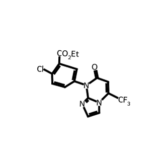 CCOC(=O)c1cc(-n2c(=O)cc(C(F)(F)F)n3ccnc23)ccc1Cl